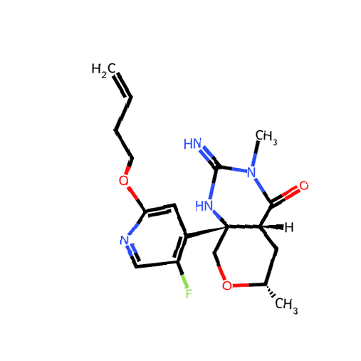 C=CCCOc1cc([C@]23CO[C@@H](C)C[C@H]2C(=O)N(C)C(=N)N3)c(F)cn1